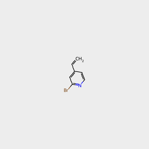 C=Cc1ccnc(Br)c1